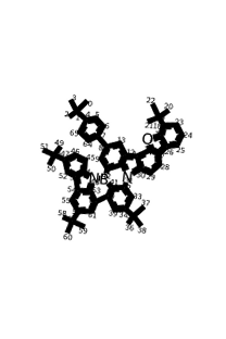 CC(C)(C)c1ccc(-c2cc3c4c(c2)c2c5oc6c(C(C)(C)C)cccc6c5ccc2n4-c2cc(C(C)(C)C)cc4c2B3n2c3ccc(C(C)(C)C)cc3c3cc(C(C)(C)C)cc-4c32)cc1